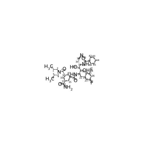 CCCN(CCC)C(=O)c1cc(C(N)=O)cc(C(=O)N[C@H](Cc2cc(F)cc(F)c2)[C@@H](O)[C@H](O)[C@H](CC#N)NC(=O)c2ccccc2)c1